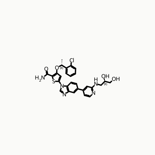 C[C@@H](Oc1cc(-n2cnc3cc(-c4ccnc(NC[C@@H](O)CO)c4)ccc32)sc1C(N)=O)c1ccccc1Cl